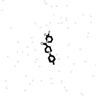 Cc1ccc(N2CCC(C(=O)N3CCCC(F)(F)C3)CC2)cc1